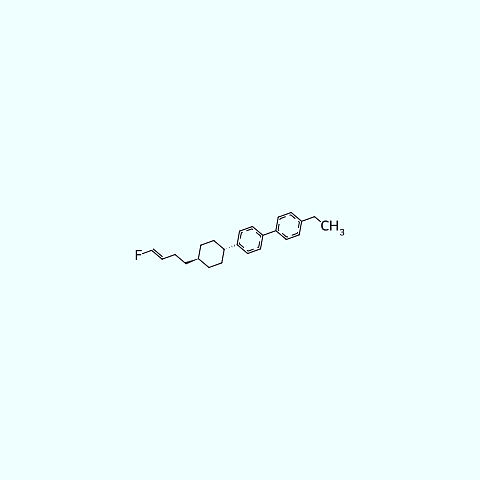 CCc1ccc(-c2ccc([C@H]3CC[C@H](CC/C=C/F)CC3)cc2)cc1